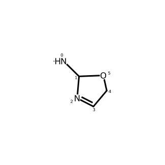 [NH]C1N=CCO1